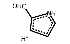 O=Cc1ccc[nH]1.[H+]